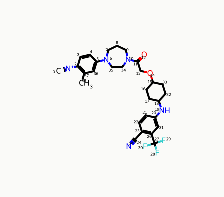 [C-]#[N+]c1ccc(N2CCCN(C(=O)COC3CCC(Nc4ccc(C#N)c(C(F)(F)F)c4)CC3)CC2)cc1C